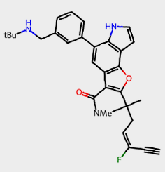 C#C/C(F)=C\CC(C)(C)c1oc2c(cc(-c3cccc(CNC(C)(C)C)c3)c3[nH]ccc32)c1C(=O)NC